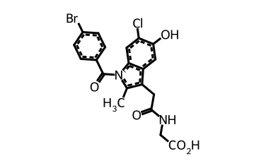 Cc1c(CC(=O)NCC(=O)O)c2cc(O)c(Cl)cc2n1C(=O)c1ccc(Br)cc1